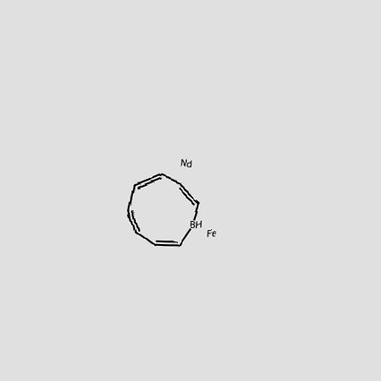 B1C=CC=CC=CC=C1.[Fe].[Nd]